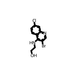 OCCNc1c(Br)cnc2cc(Cl)ccc12